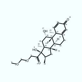 COCOCC(=O)[C@@]1(O)[C@H](C)C[C@H]2[C@@H]3CCC4=CC(=O)C=C[C@]4(C)[C@@]3(F)[C@@H](O)C[C@@]21C